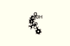 CC(C)C(C(=O)OCc1ccccc1)N1CCC2(CCN(C(=O)O)C2)C1